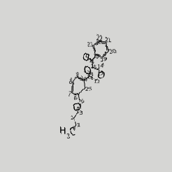 CCCCOCC1C=CC=C(C2COCC(C(=O)c3ccccc3)O2)C1